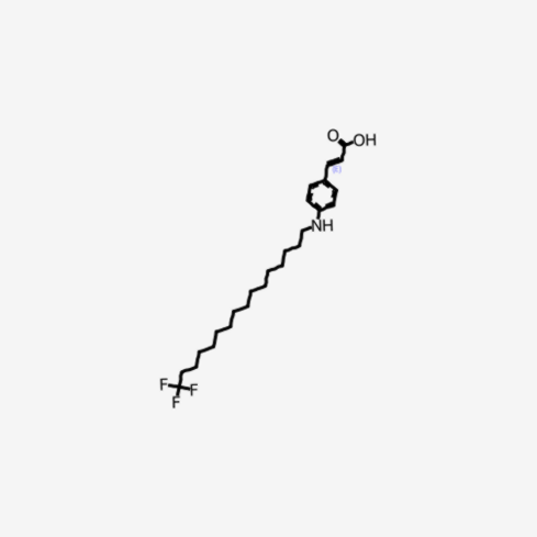 O=C(O)/C=C/c1ccc(NCCCCCCCCCCCCCCCC(F)(F)F)cc1